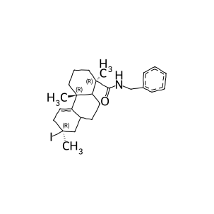 C[C@]1(I)CC=C2C(CCC3[C@](C)(C(=O)NCc4ccccc4)CCC[C@@]23C)C1